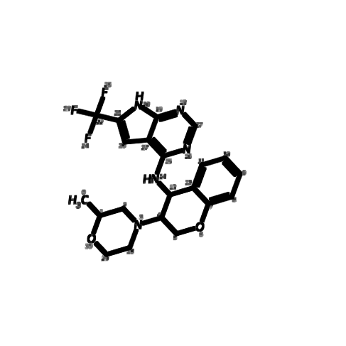 CC1CN(C2COc3ccccc3C2Nc2ncnc3[nH]c(C(F)(F)F)cc23)CCO1